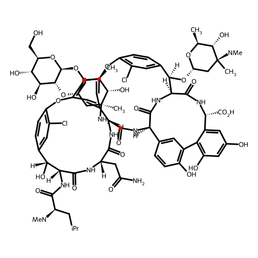 CN[C@H](CC(C)C)C(=O)N[C@H]1C(=O)N[C@@H](CC(N)=O)C(=O)N[C@H]2C(=O)N[C@H]3C(=O)N[C@H](C(=O)N[C@H](C(=O)O)c4cc(O)cc(O)c4-c4cc3ccc4O)[C@H](O[C@H]3C[C@](C)(NC)[C@@H](O)[C@H](C)O3)c3ccc(c(Cl)c3)Oc3cc2cc(c3O[C@@H]2O[C@H](CO)[C@@H](O)[C@H](O)[C@H]2O[C@H]2C[C@](C)(N)[C@@H](O)[C@H](C)O2)Oc2ccc(cc2Cl)[C@H]1O